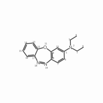 CCN(CC)c1ccc2c(c1)Oc1ccccc1N=N2